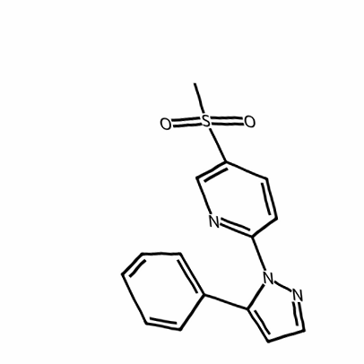 CS(=O)(=O)c1ccc(-n2nccc2-c2ccccc2)nc1